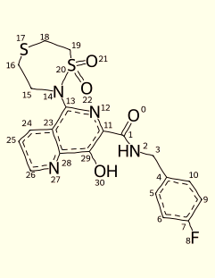 O=C(NCc1ccc(F)cc1)c1nc(N2CCSCCS2(=O)=O)c2cccnc2c1O